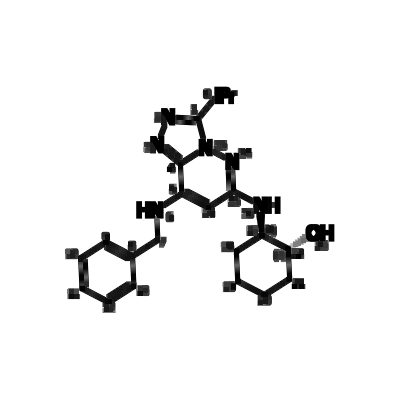 CC(C)c1nnc2c(NCc3ccccc3)cc(N[C@@H]3CCCC[C@H]3O)nn12